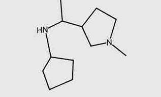 CC(NC1CCCC1)C1CCN(C)C1